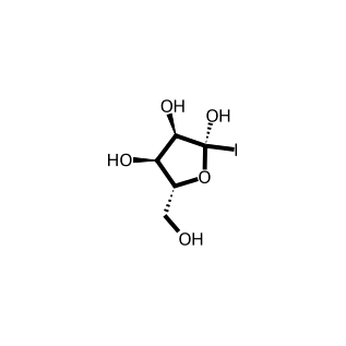 OC[C@H]1O[C@](O)(I)[C@H](O)[C@@H]1O